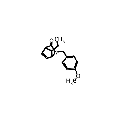 CCC1C2C=CC1N(Cc1ccc(OC)cc1)C2=O